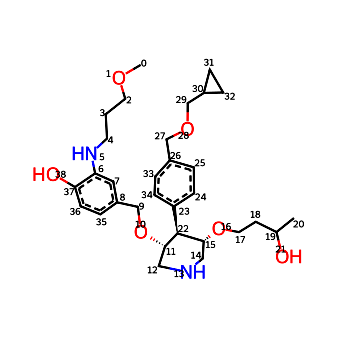 COCCCNc1cc(CO[C@H]2CNC[C@@H](OCCC(C)O)[C@@H]2c2ccc(COCC3CC3)cc2)ccc1O